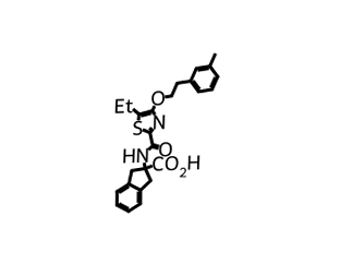 CCc1sc(C(=O)NC2(C(=O)O)Cc3ccccc3C2)nc1OCCc1cccc(C)c1